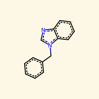 [c]1ccc2c(c1)ncn2Cc1ccccc1